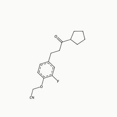 N#CCOc1ccc(CCC(=O)C2CCCC2)cc1F